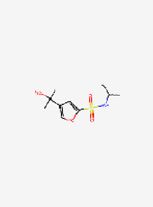 CC(C)NS(=O)(=O)c1cc(C(C)(C)O)co1